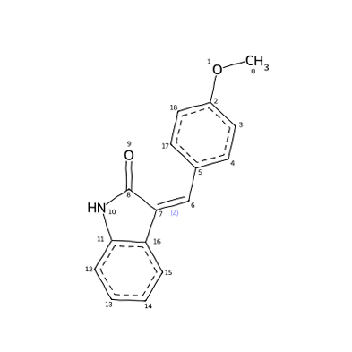 COc1ccc(/C=C2\C(=O)Nc3ccccc32)cc1